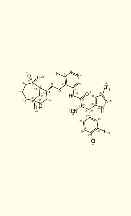 N[C@H](C(=O)Nc1cncc(F)c1CC[C@H]1CN[C@@H]2CCCS(=O)(=O)N1C2)[C@@H](c1ccc(Cl)c(F)c1)c1cc(C(F)(F)F)n[nH]1